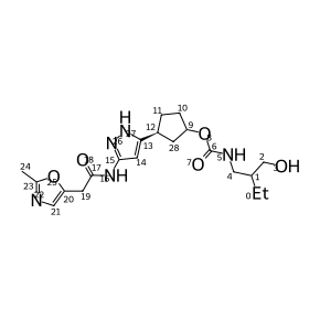 CCC(CO)CNC(=O)OC1CC[C@H](c2cc(NC(=O)Cc3cnc(C)o3)n[nH]2)C1